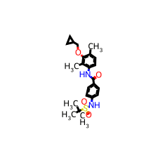 Cc1ccc(NC(=O)c2ccc(NS(=O)(=O)C(C)(C)C)cc2)c(C)c1OCC1CC1